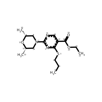 CCCSc1nc(N2C[C@@H](C)O[C@@H](C)C2)ncc1C(=O)OCC